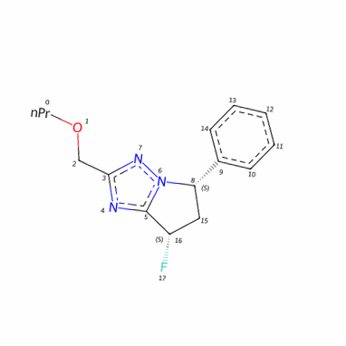 CCCOCc1nc2n(n1)[C@H](c1ccccc1)C[C@@H]2F